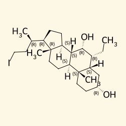 CC[C@H]1[C@@H](O)[C@@H]2[C@H](CC[C@]3(C)[C@@H]([C@H](C)CCI)CC[C@@H]23)[C@@]2(C)CC[C@@H](O)C[C@@H]12